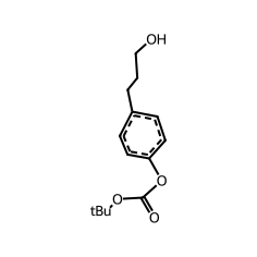 CC(C)(C)OC(=O)Oc1ccc(CCCO)cc1